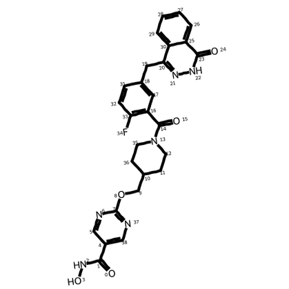 O=C(NO)c1cnc(OCC2CCN(C(=O)c3cc(Cc4n[nH]c(=O)c5ccccc45)ccc3F)CC2)nc1